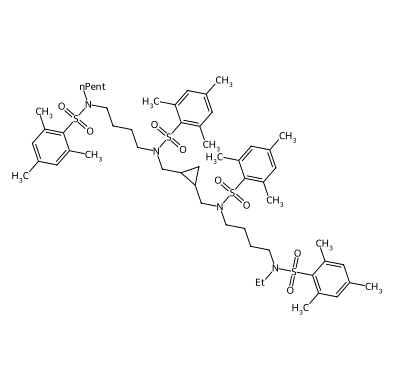 CCCCCN(CCCCN(CC1CC1CN(CCCCN(CC)S(=O)(=O)c1c(C)cc(C)cc1C)S(=O)(=O)c1c(C)cc(C)cc1C)S(=O)(=O)c1c(C)cc(C)cc1C)S(=O)(=O)c1c(C)cc(C)cc1C